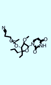 CCC[C@]1(CC)O[C@@H](n2ccc(=O)[nH]c2=O)C(OC)[C@H]1OP(C)OCCC#N